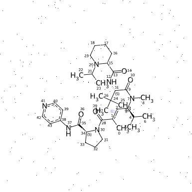 C/C(=C\[C@H](C(C)C)N(C)C(=O)[C@@H](NC(=O)C1CCCCN1C(C)C)C(C)(C)C)C(=O)N1CCC[C@H]1C(=O)Nc1ccncc1